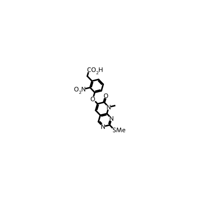 CSc1ncc2cc(Oc3cccc(CC(=O)O)c3[N+](=O)[O-])c(=O)n(C)c2n1